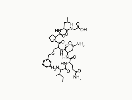 CCC(C)C(N)C(=O)NC(CCC(N)=O)C(=O)NC(CC(N)=O)C(=O)NC(CSCc1ccccc1)C(=O)N1CCCC1C(=O)NC(CC(C)C)C(=O)NCC(=O)O